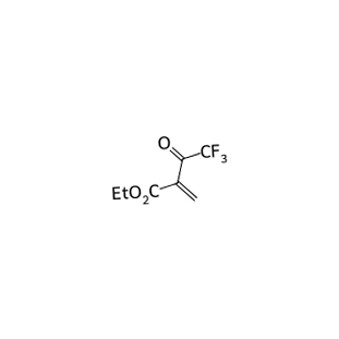 C=C(C(=O)OCC)C(=O)C(F)(F)F